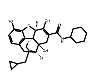 O=C(NC1CCCCC1)C1=C(O)[C@@H]2Oc3c(O)ccc4c3[C@@]23CCN(CC2CC2)[C@H](C4)[C@]3(O)C1